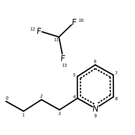 CCCCc1ccccn1.FC(F)F